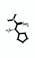 CN(C)C(=O)[C@@H](N)C1CCCC1.Cl